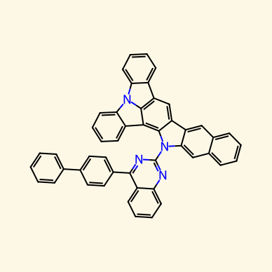 c1ccc(-c2ccc(-c3nc(-n4c5cc6ccccc6cc5c5cc6c7ccccc7n7c8ccccc8c(c54)c67)nc4ccccc34)cc2)cc1